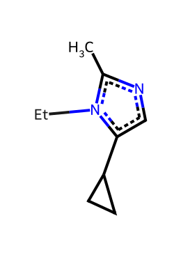 CCn1c(C2CC2)cnc1C